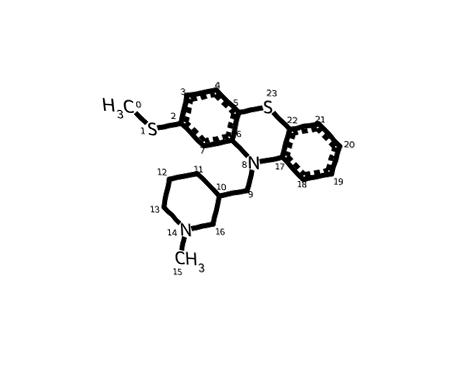 CSc1ccc2c(c1)N(CC1CCCN(C)C1)c1ccccc1S2